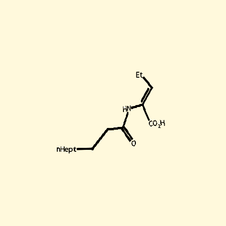 CCC=C(NC(=O)CCCCCCCCC)C(=O)O